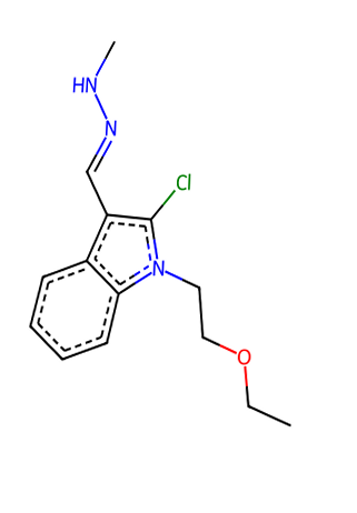 CCOCCn1c(Cl)c(/C=N/NC)c2ccccc21